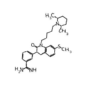 CSc1ccc2c(c1)N(CCCCCN1[C@H](C)CCC[C@@H]1C)C(=O)C(c1cccc(C(=N)N)c1)C2